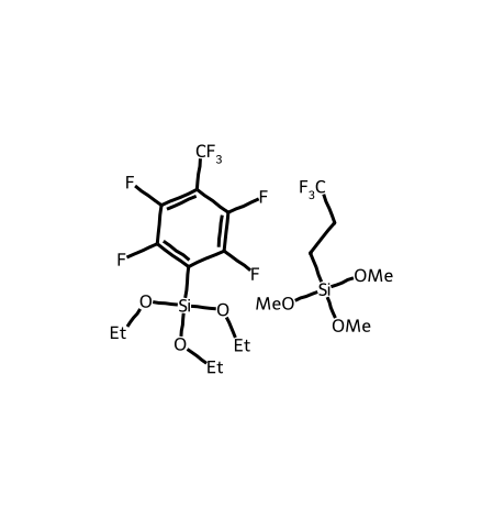 CCO[Si](OCC)(OCC)c1c(F)c(F)c(C(F)(F)F)c(F)c1F.CO[Si](CCC(F)(F)F)(OC)OC